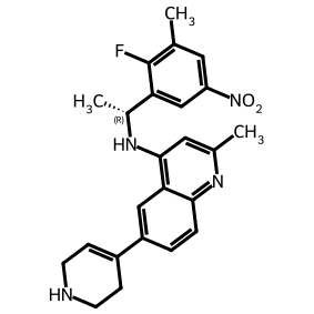 Cc1cc(N[C@H](C)c2cc([N+](=O)[O-])cc(C)c2F)c2cc(C3=CCNCC3)ccc2n1